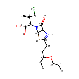 C=C(CCl)C(C(=O)O)N1C(=O)C2N=C(CCC(CC)OCCC)SC21